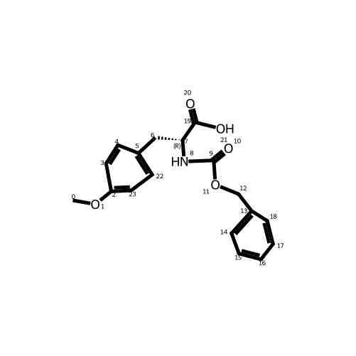 COc1ccc(C[C@@H](NC(=O)OCc2ccccc2)C(=O)O)cc1